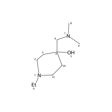 CCN1CCC(O)(CN(C)C)CC1